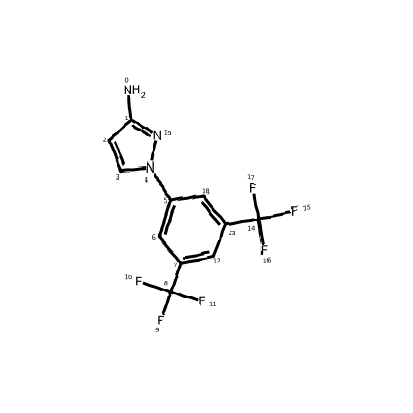 Nc1ccn(-c2cc(C(F)(F)F)cc(C(F)(F)F)c2)n1